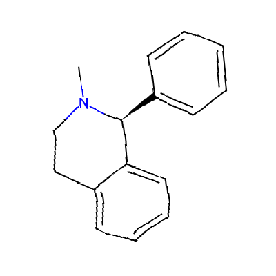 CN1CCc2ccccc2[C@@H]1c1ccccc1